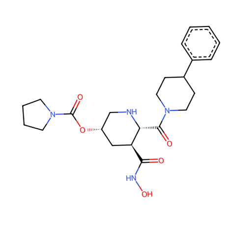 O=C(NO)[C@H]1C[C@H](OC(=O)N2CCCC2)CN[C@@H]1C(=O)N1CCC(c2ccccc2)CC1